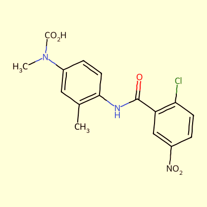 Cc1cc(N(C)C(=O)O)ccc1NC(=O)c1cc([N+](=O)[O-])ccc1Cl